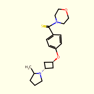 CC1CCCN1[C@H]1C[C@H](Oc2ccc(C(=S)N3CCOCC3)cc2)C1